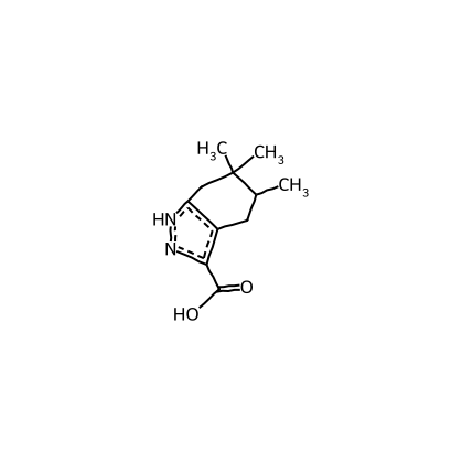 CC1Cc2c(C(=O)O)n[nH]c2CC1(C)C